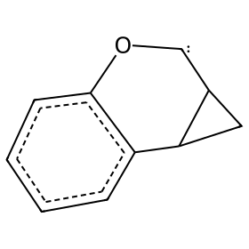 [C]1Oc2ccccc2C2CC12